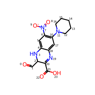 O=CC1Nc2cc([N+](=O)[O-])c(N3CCCCC3)cc2N=C1C(=O)O